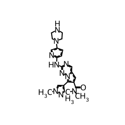 CN(C)C(=O)c1cc2cnc(Nc3ccc(N4CCNCC4)cn3)nn2c1-c1cnn(C)c1